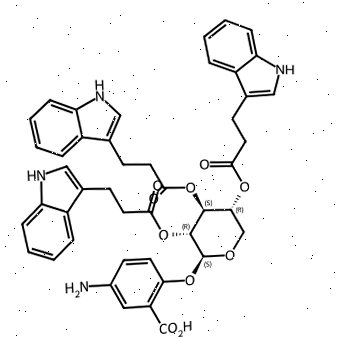 Nc1ccc(O[C@@H]2OC[C@@H](OC(=O)CCc3c[nH]c4ccccc34)[C@H](OC(=O)CCc3c[nH]c4ccccc34)[C@H]2OC(=O)CCc2c[nH]c3ccccc23)c(C(=O)O)c1